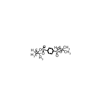 C[Si](C)(C)OS(=O)(=O)c1ccc(S(=O)(=O)O[Si](C)(C)C)cc1